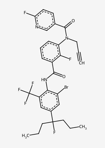 C#CCN(C(=O)c1ccc(F)nc1)c1cccc(C(=O)Nc2c(Br)cc(C(F)(CCC)CCC)cc2C(F)(F)F)c1F